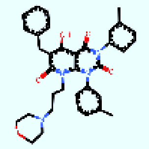 Cc1cccc(-n2c(=O)c3c(O)c(Cc4ccccc4)c(=O)n(CCCN4CCOCC4)c3n(-c3cccc(C)c3)c2=O)c1